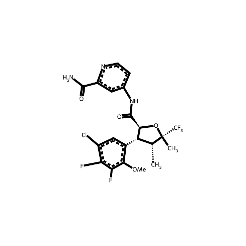 COc1c([C@@H]2[C@@H](C(=O)Nc3ccnc(C(N)=O)c3)O[C@](C)(C(F)(F)F)[C@@H]2C)cc(Cl)c(F)c1F